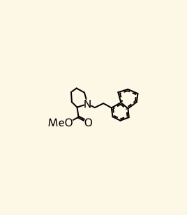 COC(=O)C1CCCCN1CCc1cccc2ccccc12